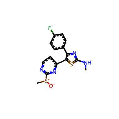 CNc1nc(-c2ccc(F)cc2)c(-c2ccnc([S+](C)[O-])n2)s1